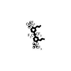 CC=Cc1cc(C(c2ccc(OS(=O)(=O)C(F)(F)F)c(C=CC)c2)(C(F)(F)F)C(F)(F)F)ccc1OS(=O)(=O)C(F)(F)F